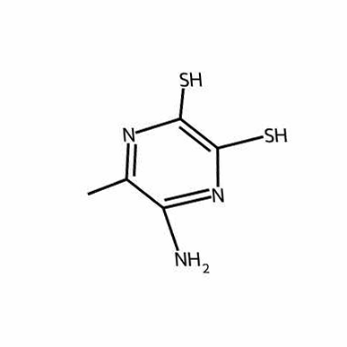 Cc1nc(S)c(S)nc1N